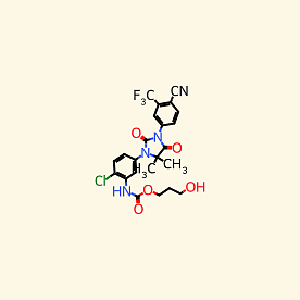 CC1(C)C(=O)N(c2ccc(C#N)c(C(F)(F)F)c2)C(=O)N1c1ccc(Cl)c(NC(=O)OCCCO)c1